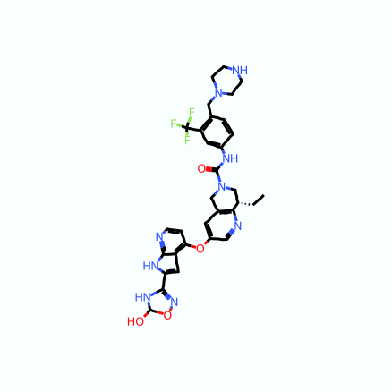 CC[C@H]1CN(C(=O)Nc2ccc(CN3CCNCC3)c(C(F)(F)F)c2)Cc2cc(Oc3ccnc4[nH]c(C5=NOC(O)N5)cc34)cnc21